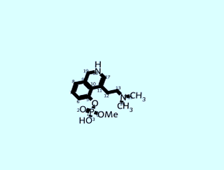 COP(=O)(O)Oc1cccc2c1C(CCN(C)C)=CNC2